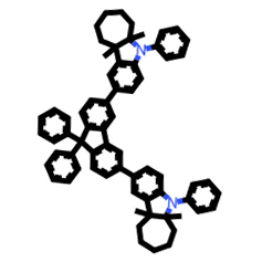 CC12CCCCCC1(C)N(c1ccccc1)c1ccc(-c3ccc4c(c3)-c3cc(-c5ccc6c(c5)C5(C)CCCCCC5(C)N6c5ccccc5)ccc3C4(c3ccccc3)c3ccccc3)cc12